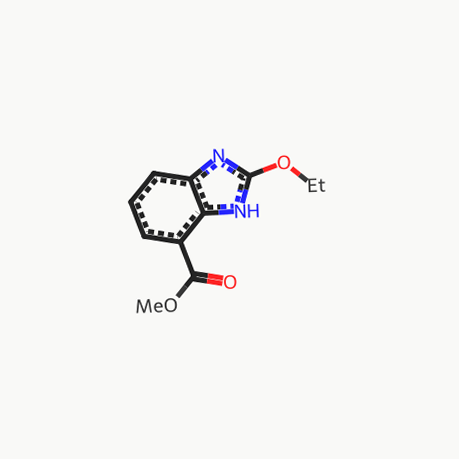 CCOc1nc2cccc(C(=O)OC)c2[nH]1